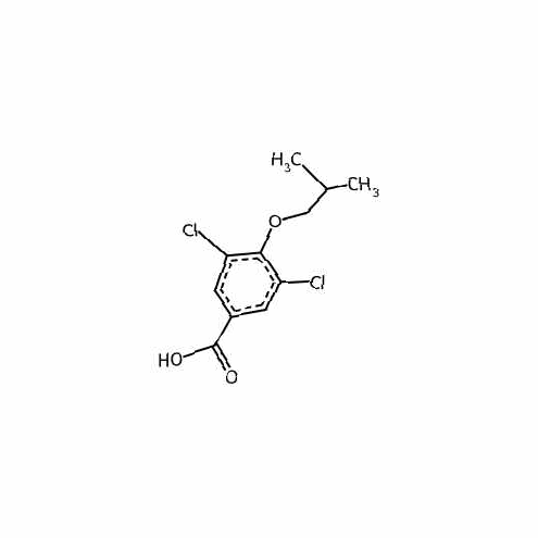 CC(C)COc1c(Cl)cc(C(=O)O)cc1Cl